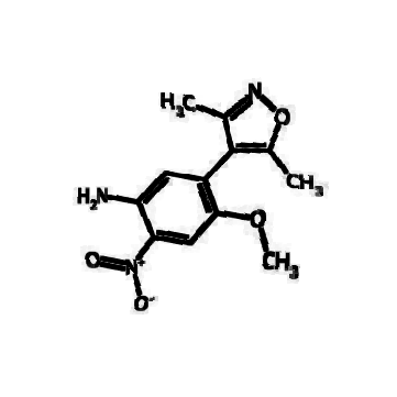 COc1cc([N+](=O)[O-])c(N)cc1-c1c(C)noc1C